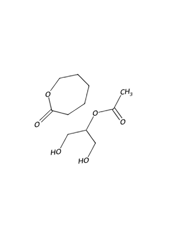 CC(=O)OC(CO)CO.O=C1CCCCCO1